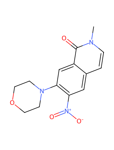 Cn1ccc2cc([N+](=O)[O-])c(N3CCOCC3)cc2c1=O